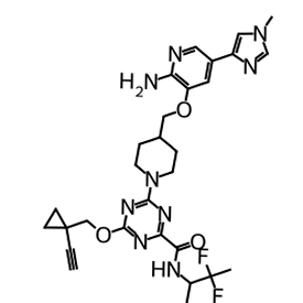 C#CC1(COc2nc(C(=O)NC(C)C(C)(F)F)nc(N3CCC(COc4cc(-c5cn(C)cn5)cnc4N)CC3)n2)CC1